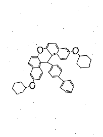 c1ccc(-c2ccc(C3c4c(ccc5cc(OC6CCCCC6)ccc45)Oc4ccc5cc(OC6CCCCC6)ccc5c43)cc2)cc1